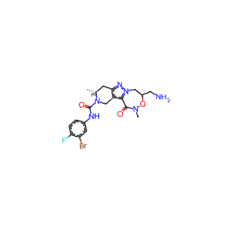 C[C@@H]1Cc2nn3c(c2CN1C(=O)Nc1ccc(F)c(Br)c1)C(=O)N(C)OC(CN)C3